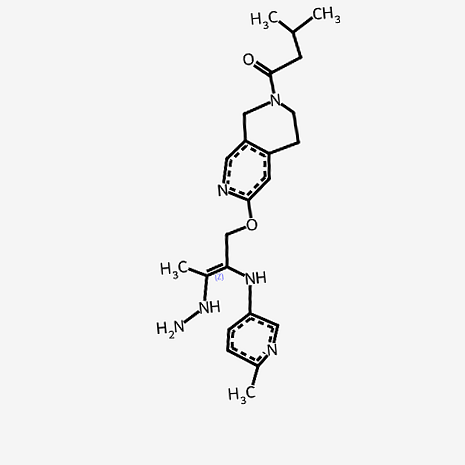 C/C(NN)=C(\COc1cc2c(cn1)CN(C(=O)CC(C)C)CC2)Nc1ccc(C)nc1